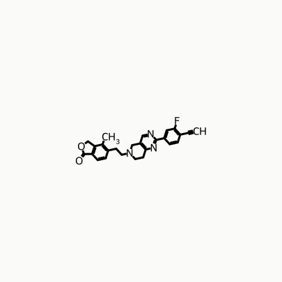 C#Cc1ccc(-c2ncc3c(n2)CCN(CCc2ccc4c(c2C)COC4=O)C3)cc1F